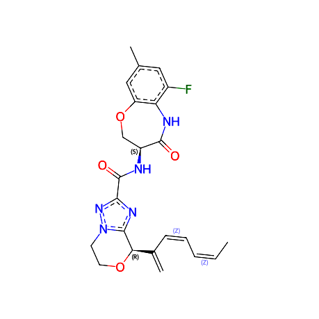 C=C(/C=C\C=C/C)[C@H]1OCCn2nc(C(=O)N[C@H]3COc4cc(C)cc(F)c4NC3=O)nc21